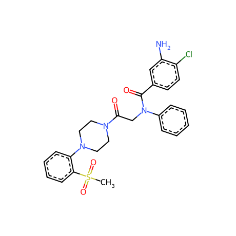 CS(=O)(=O)c1ccccc1N1CCN(C(=O)CN(C(=O)c2ccc(Cl)c(N)c2)c2ccccc2)CC1